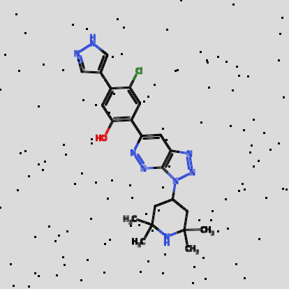 CC1(C)CC(n2nnc3cc(-c4cc(Cl)c(-c5cn[nH]c5)cc4O)nnc32)CC(C)(C)N1